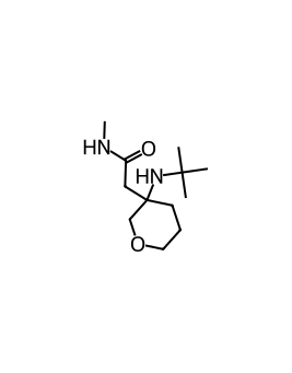 CNC(=O)CC1(NC(C)(C)C)CCCOC1